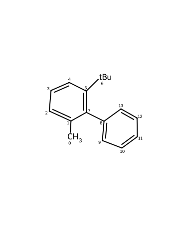 Cc1cccc(C(C)(C)C)c1-c1ccccc1